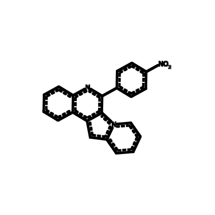 O=[N+]([O-])c1ccc(-c2nc3ccccc3c3cc4ccccn4c23)cc1